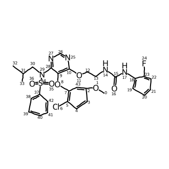 COc1ccc(Cl)c(Oc2c(OCCNC(=O)Nc3ccccc3F)ncnc2N(CC(C)C)S(=O)(=O)c2ccccc2)c1